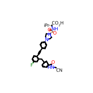 CC(C)[C@@H](NS(=O)(=O)N1CCN(c2ccc(C#Cc3ccc(F)cc3Cc3cccc(C(=O)NCC#N)c3)cc2)CC1)C(=O)O